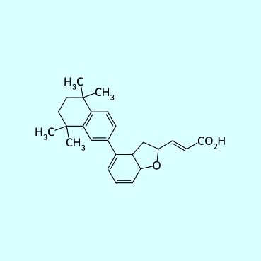 CC1(C)CCC(C)(C)c2cc(C3=CC=CC4OC(/C=C/C(=O)O)CC34)ccc21